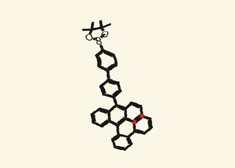 CC1(C)OB(c2ccc(-c3ccc(-c4c5ccccc5c(-c5ccccc5-c5ccccc5)c5ccccc45)cc3)cc2)OC1(C)C